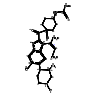 CCN1CCN(c2cc3c(cc2Cl)nc(C(=O)C2(CC)CCC(NC(=O)OC)CC2)n3/C(=C\C(=O)O)C(=O)O)[C@@H](C)C1